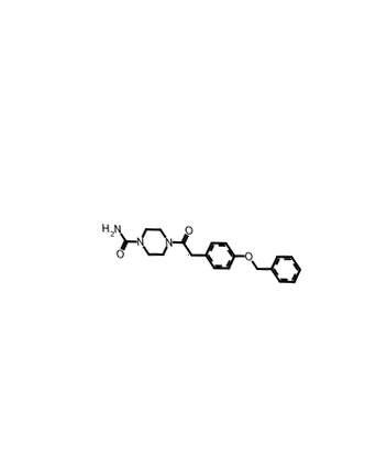 NC(=O)N1CCN(C(=O)[CH]c2ccc(OCc3ccccc3)cc2)CC1